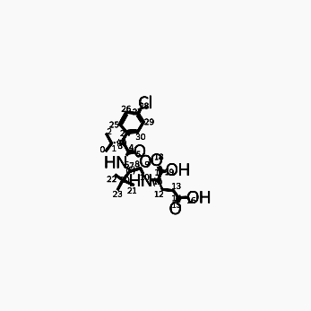 CC(C)[C@@H](C(=O)N[C@H](C(=O)N[C@H](CCC(=O)O)C(=O)O)C(C)(C)C)c1ccc(Cl)cc1